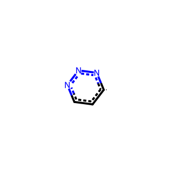 [c]1ccnnn1